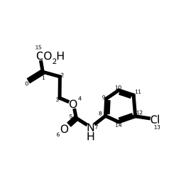 C=C(CCOC(=O)Nc1cccc(Cl)c1)C(=O)O